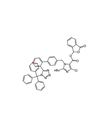 CCCCc1nc(Cl)c(C(=O)OC2OC(=O)c3ccccc32)n1Cc1ccc(-c2ccccc2-c2nnnn2C(c2ccccc2)(c2ccccc2)c2ccccc2)cc1